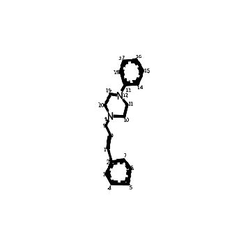 C(=C\c1ccccc1)/CN1CCN(c2ccccc2)CC1